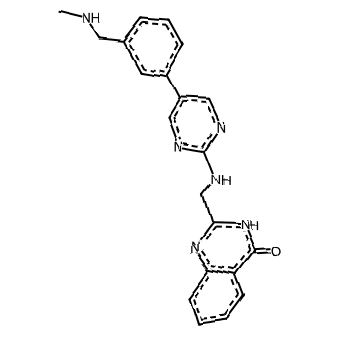 CNCc1cccc(-c2cnc(NCc3nc4ccccc4c(=O)[nH]3)nc2)c1